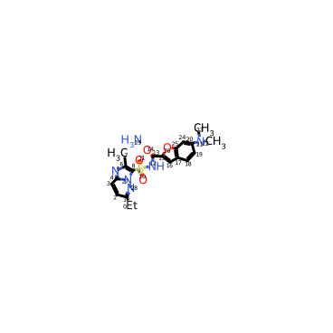 CCc1ccc2nc(C)c(S(=O)(=O)NC(=O)c3cc4ccc(N(C)C)cc4o3)n2n1.N